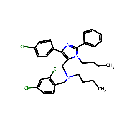 CCCCN(Cc1ccc(Cl)cc1Cl)Cc1c(-c2ccc(Cl)cc2)nc(-c2ccccc2)n1CCCC